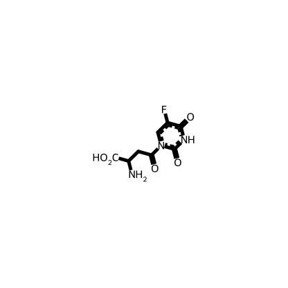 NC(CC(=O)n1cc(F)c(=O)[nH]c1=O)C(=O)O